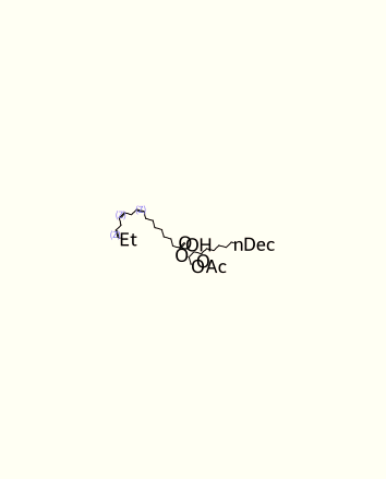 CC/C=C\C/C=C\C/C=C\CCCCCCCC(=O)OC(COC(C)=O)C(O)C(=O)CCCCCCCCCCCCCCC